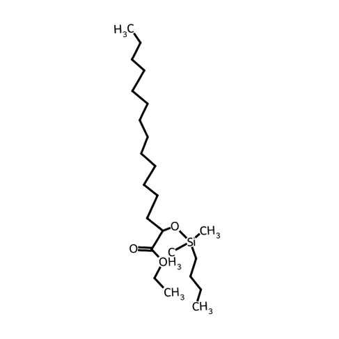 CCCCCCCCCCCCCC(O[Si](C)(C)CCCC)C(=O)OCC